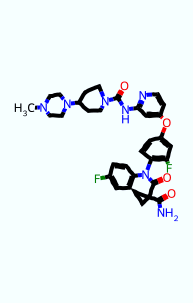 CN1CCN(C2CCN(C(=O)Nc3cc(Oc4ccc(N(C(=O)C5(C(N)=O)CC5)c5ccc(F)cc5)c(F)c4)ccn3)CC2)CC1